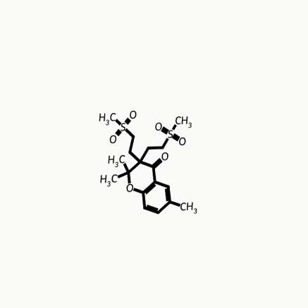 Cc1ccc2c(c1)C(=O)C(CCS(C)(=O)=O)(CCS(C)(=O)=O)C(C)(C)O2